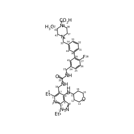 CCc1nc2c(cnn2CC)c(NC2CCOCC2)c1CNC(=O)NCc1ccc(F)c(-c2cccc(CN3CCN(C(=O)O)[C@@H](C)C3)c2)c1